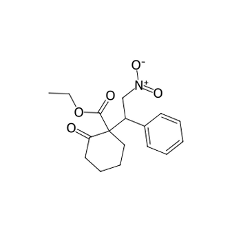 CCOC(=O)C1(C(C[N+](=O)[O-])c2ccccc2)CCCCC1=O